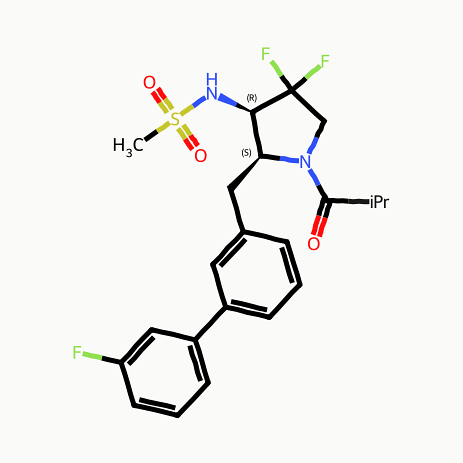 CC(C)C(=O)N1CC(F)(F)[C@H](NS(C)(=O)=O)[C@@H]1Cc1cccc(-c2cccc(F)c2)c1